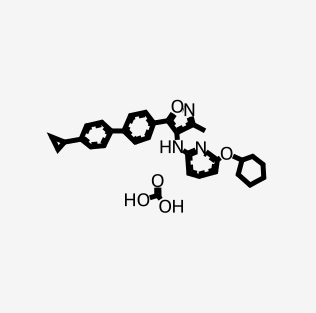 Cc1noc(-c2ccc(-c3ccc(C4CC4)cc3)cc2)c1Nc1cccc(OC2CCCCC2)n1.O=C(O)O